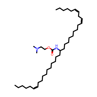 CCCCC/C=C\C/C=C\CCCCCCCCC(CCCCCCCCCC/C=C\CCCCC)NC(=O)OCCN(C)C